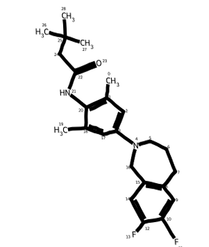 Cc1cc(N2CCCc3cc(F)c(F)cc3C2)cc(C)c1NC(=O)CC(C)(C)C